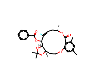 Cc1cc(C)c2c(c1)OCC[C@@H]1OC(C)(C)O[C@@H]1C(OC(=O)c1ccccc1)/C(F)=C\C[C@H](C)OC2=O